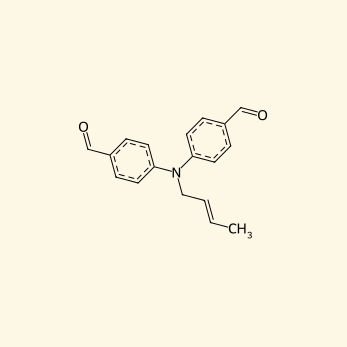 C/C=C/CN(c1ccc(C=O)cc1)c1ccc(C=O)cc1